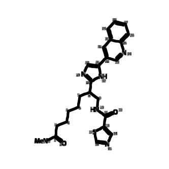 CNC(=O)CCCCCC(CNC(=O)c1cncs1)c1ncc(-c2cnc3ccccc3c2)[nH]1